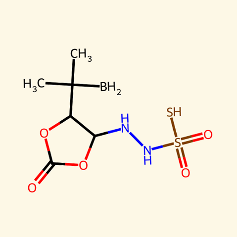 BC(C)(C)C1OC(=O)OC1NNS(=O)(=O)S